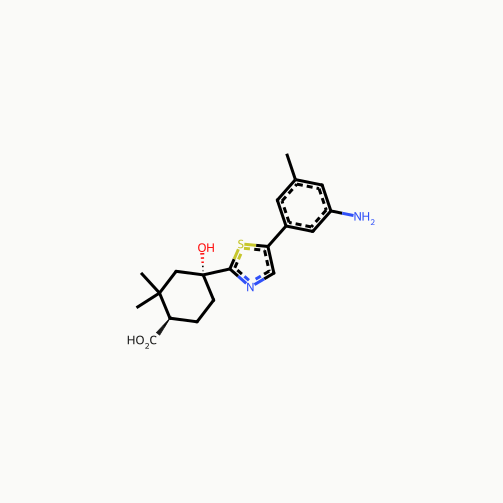 Cc1cc(N)cc(-c2cnc([C@@]3(O)CC[C@@H](C(=O)O)C(C)(C)C3)s2)c1